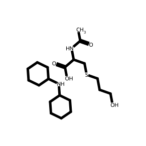 C1CCC(NC2CCCCC2)CC1.CC(=O)NC(CSCCCO)C(=O)O